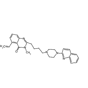 C=Cc1cccc2nc(CCCCN3CCN(c4ccc5ccccc5n4)CC3)n(C)c(=O)c12